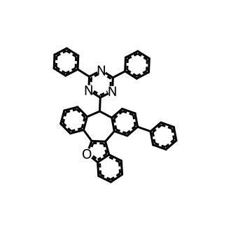 c1ccc(-c2ccc3c(c2)-c2c(oc4ccccc24)-c2ccccc2C3c2nc(-c3ccccc3)nc(-c3ccccc3)n2)cc1